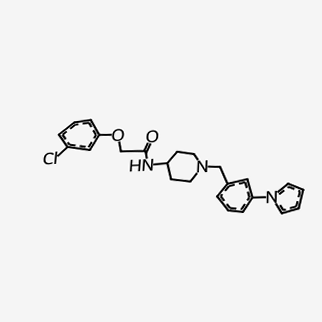 O=C(COc1cccc(Cl)c1)NC1CCN(Cc2cccc(-n3cccc3)c2)CC1